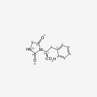 O=C(O)[C@H](Cc1ccccc1)N1C(=O)CNC1=O